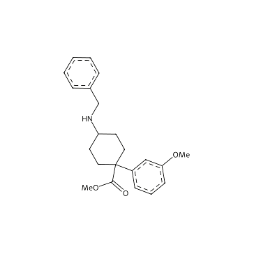 COC(=O)C1(c2cccc(OC)c2)CCC(NCc2ccccc2)CC1